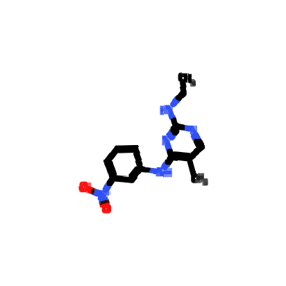 CCNc1ncc(C)c(Nc2cccc([N+](=O)[O-])c2)n1